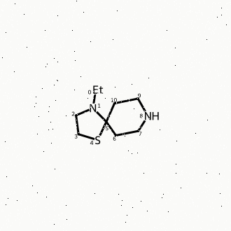 CCN1CCSC12CCNCC2